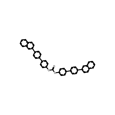 O=C(Oc1ccc(-c2ccc(-c3ccc4ccccc4c3)cc2)cc1)Oc1ccc(-c2ccc(-c3ccc4ccccc4c3)cc2)cc1